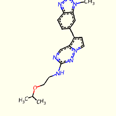 CC(C)OCCNc1ncc2c(-c3ccc4nnn(C)c4c3)ccn2n1